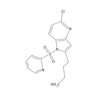 O=C(O)CCCc1cc2nc(Cl)ccc2n1S(=O)(=O)c1ccccn1